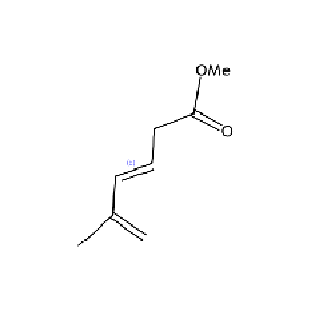 C=C(C)/C=C/CC(=O)OC